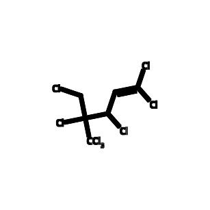 ClCC(Cl)(C(Cl)C=C(Cl)Cl)C(Cl)(Cl)Cl